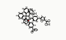 O=C(O)c1ccc(-c2ccc(N(C(=O)c3ccc([N+](=O)[O-])cc3)C(c3cnc[nH]3)C(c3ccccc3)(c3ccccc3)c3ccccc3)cc2)o1